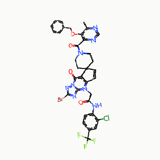 Cc1ncnc(C(=O)N2CCC3(C=Cc4c3c(=O)n3nc(Br)nc3n4CC(=O)Nc3ccc(C(F)(F)F)cc3Cl)CC2)c1OCc1ccccc1